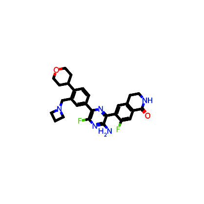 Nc1nc(F)c(-c2ccc(C3CCOCC3)c(CN3CCC3)c2)nc1-c1cc2c(cc1F)C(=O)NCC2